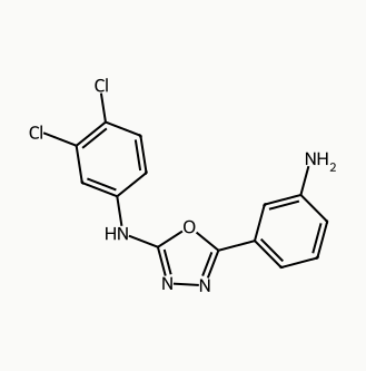 Nc1cccc(-c2nnc(Nc3ccc(Cl)c(Cl)c3)o2)c1